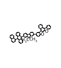 CC1(C)c2cc(-c3ccc4oc5c6oc7ccccc7c6c6ccccc6c5c4c3)ccc2-c2ccc(-c3c4ccccc4c(-c4cccc5ccccc45)c4ccccc34)cc21